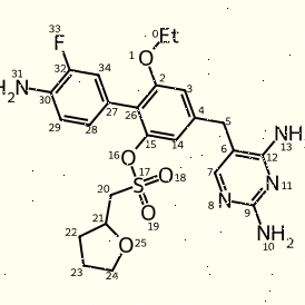 CCOc1cc(Cc2cnc(N)nc2N)cc(OS(=O)(=O)CC2CCCO2)c1-c1ccc(N)c(F)c1